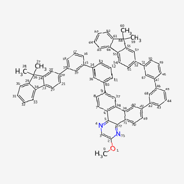 COc1cnc2c3ccc(-c4cccc(-c5cccc(-c6ccc7c(c6)C(C)(C)c6ccccc6-7)c5)c4)cc3c3cc(-c4cccc(-c5cccc(-c6ccc7c(c6)C(C)(C)c6ccccc6-7)c5)c4)ccc3c2n1